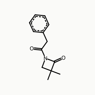 CC1(C)CN(C(=O)Cc2ccccc2)C1=O